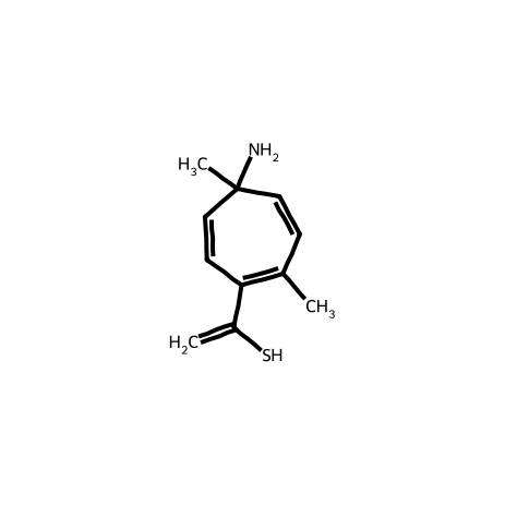 C=C(S)C1=C(C)C=CC(C)(N)C=C1